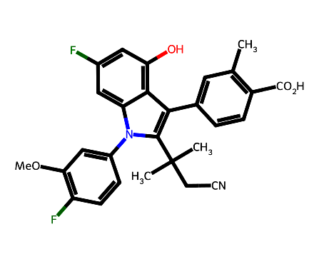 COc1cc(-n2c(C(C)(C)CC#N)c(-c3ccc(C(=O)O)c(C)c3)c3c(O)cc(F)cc32)ccc1F